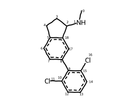 CNC1CCc2ccc(-c3c(Cl)cccc3Cl)cc21